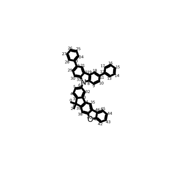 CC1(C)c2ccc(-n3c4ccc(-c5ccccc5)cc4c4cc(-c5ccccc5)ccc43)cc2-c2cc3c(cc21)oc1ccccc13